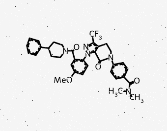 COc1ccc(-n2nc(C(F)(F)F)c3c2C(=O)N(c2ccc(C(=O)N(C)C)cc2)CC3)c(C(=O)N2CCC(c3ccccc3)CC2)c1